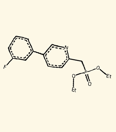 CCOP(=O)(Cc1ccc(-c2cccc(F)c2)cn1)OCC